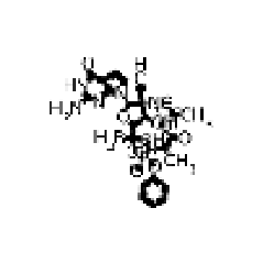 BC(B)(OP(=O)(N[C@@H](C)C(=O)OC(C)C)Oc1ccccc1)C1O[C@@H](n2ccc3c(=O)[nH]c(N)nc32)[C@@](N)(C#C)C1O